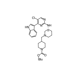 CC(C)(C)OC(=O)N1CCC(CN2CCC[C@@H](Nc3ncc(Cl)c(-c4c[nH]c5ccccc45)n3)C2)CC1